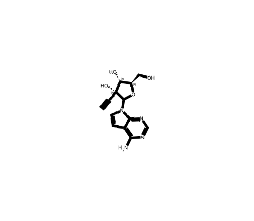 C#C[C@]1(O)C(n2ccc3c(N)ncnc32)O[C@H](CO)[C@H]1O